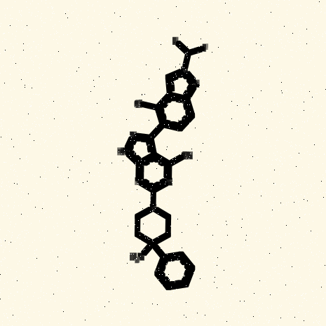 N#Cc1nc(N2CCC(N)(c3ccccc3)CC2)nc2[nH]nc(-c3ccc4nn(C(F)F)cc4c3Cl)c12